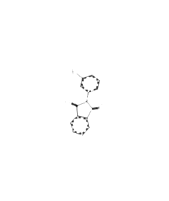 O=C1c2ccccc2C(=O)C1c1cccc(F)c1